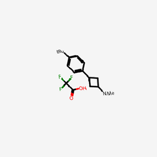 CNC1CC(c2ccc(C(C)(C)C)cc2)C1.O=C(O)C(F)(F)F